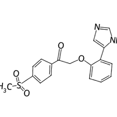 CS(=O)(=O)c1ccc(C(=O)COc2ccccc2-c2cnc[nH]2)cc1